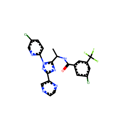 CC(NC(=O)c1cc(Cl)cc(C(F)(F)F)c1)c1nc(-c2cnccn2)nn1-c1ccc(Cl)cn1